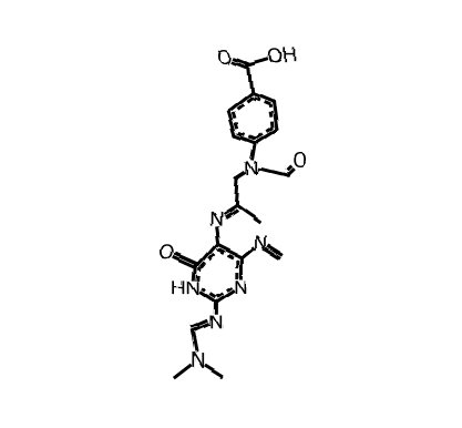 C=Nc1nc(/N=C/N(C)C)[nH]c(=O)c1/N=C(\C)CN(C=O)c1ccc(C(=O)O)cc1